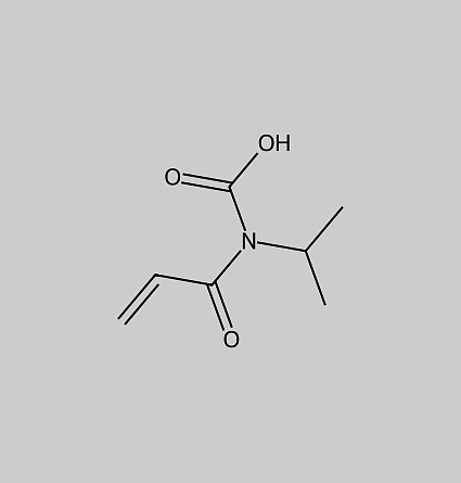 C=CC(=O)N(C(=O)O)C(C)C